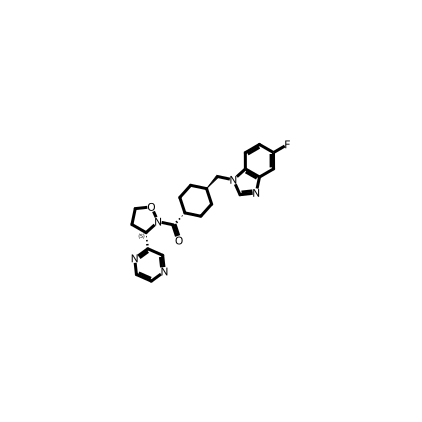 O=C([C@H]1CC[C@H](Cn2cnc3cc(F)ccc32)CC1)N1OCC[C@H]1c1cnccn1